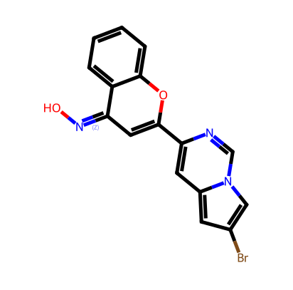 O/N=c1/cc(-c2cc3cc(Br)cn3cn2)oc2ccccc12